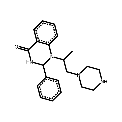 CC(CN1CCNCC1)N1c2ccccc2C(=O)NC1c1ccccc1